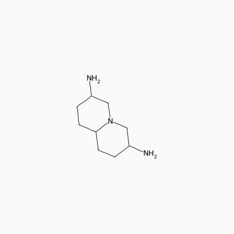 NC1CCC2CCC(N)CN2C1